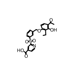 CCc1c(OCc2cccc(S(=O)(=O)c3cc(C(=O)O)ccn3)c2)ccc(C(C)=O)c1O